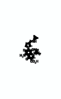 COc1c(N2CCC(CNC3CC3)C2)c(F)c(N)c2c(=O)c(C(=O)O)cn([C@@H]3C[C@@H]3F)c12